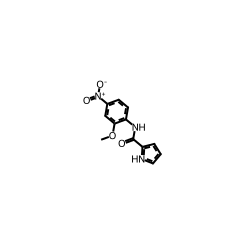 COc1cc([N+](=O)[O-])ccc1NC(=O)c1ccc[nH]1